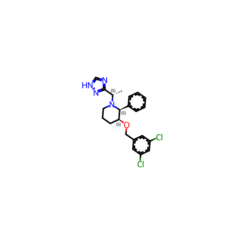 C[C@@H](c1nc[nH]n1)N1CCC[C@H](OCc2cc(Cl)cc(Cl)c2)[C@@H]1c1ccccc1